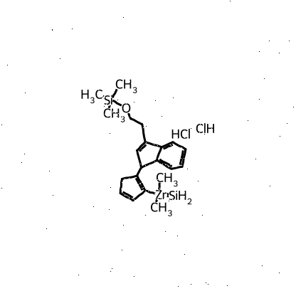 C[Si](C)(C)OCCC1=CC(C2=[C]([Zr]([CH3])([CH3])=[SiH2])C=CC2)c2ccccc21.Cl.Cl